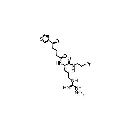 CC(C)CCNC(=O)[C@H](CCCNC(=N)N[N+](=O)[O-])NC(=O)CCCC(=O)c1ccsc1